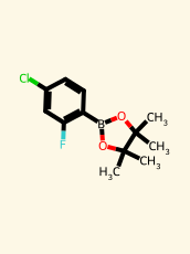 CC1(C)OB(c2ccc(Cl)cc2F)OC1(C)C